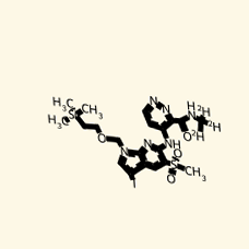 [2H]C([2H])([2H])NC(=O)c1nnccc1Nc1nc2c(cc1S(C)(=O)=O)c(I)cn2COCC[Si](C)(C)C